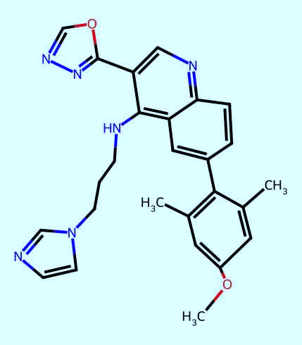 COc1cc(C)c(-c2ccc3ncc(-c4nnco4)c(NCCCn4ccnc4)c3c2)c(C)c1